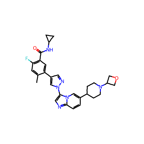 Cc1cc(F)c(C(=O)NC2CC2)cc1-c1cnn(-c2cnc3ccc(C4CCN(C5COC5)CC4)cn23)c1